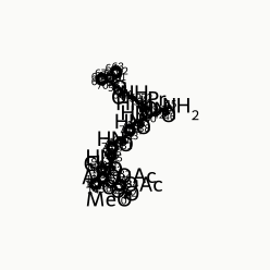 COC(=O)[C@H]1OC(Oc2cc3c(c4ccccc24)[C@H](CCl)CN3C(=O)c2cc3cc(NC(=O)c4ccc(NC(=O)[C@H](CCCNC(N)=O)NC(=O)[C@@H](NCCNC(=O)OCC5c6ccccc6-c6ccccc65)C(C)C)cc4)ccc3[nH]2)[C@H](OC(C)=O)[C@@H](OC(C)=O)[C@@H]1OC(C)=O